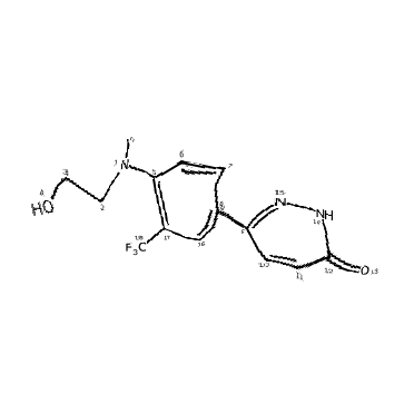 CN(CCO)c1ccc(-c2ccc(=O)[nH]n2)cc1C(F)(F)F